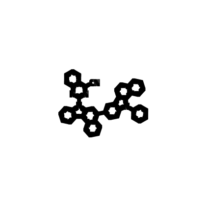 N#Cc1nc(-n2c3ccccc3c3c4ccccc4c(-c4ccc5c(c4)c4ccc6ccccc6c4n5-c4ccccc4)cc32)nc2ccccc12